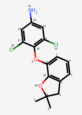 CC1(C)Cc2cccc(Oc3c(Cl)cc(N)cc3Cl)c2O1